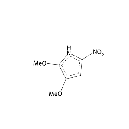 COc1cc([N+](=O)[O-])[nH]c1OC